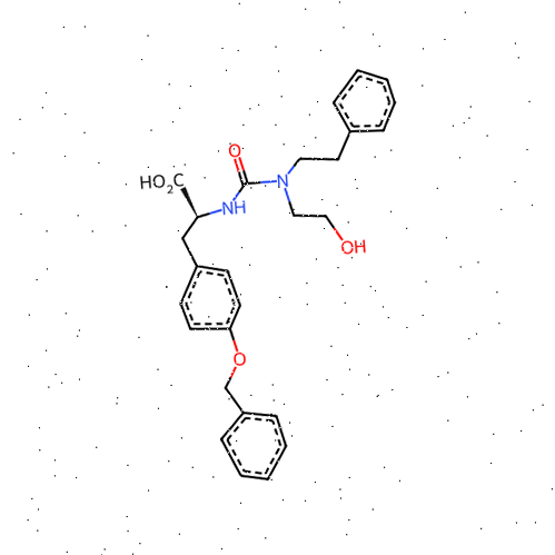 O=C(O)[C@H](Cc1ccc(OCc2ccccc2)cc1)NC(=O)N(CCO)CCc1ccccc1